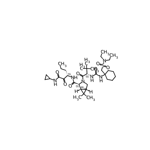 CCC[C@H](NC(=O)[C@@H]1[C@@H]2[C@H](CN1C(=O)[C@@H](NC(=O)NC1(CS(=O)(=O)N(CC)CC)CCCCC1)C(C)(C)C)C2(C)C)C(=O)C(=O)NC1CC1